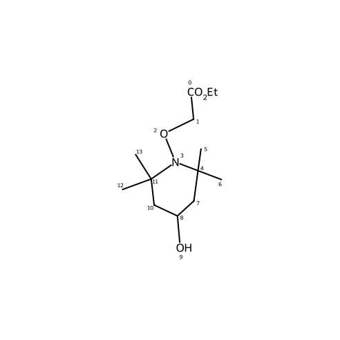 CCOC(=O)CON1C(C)(C)CC(O)CC1(C)C